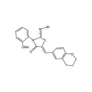 COc1ccccc1N1C(=O)/C(=C/c2ccc3c(c2)CCCO3)S/C1=N\C(C)C